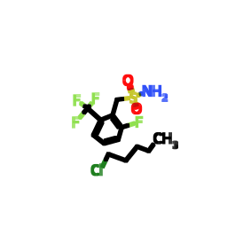 CCCCCCl.NS(=O)(=O)Cc1c(F)cccc1C(F)(F)F